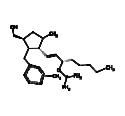 CCCCC[C@@H](/C=C/[C@H]1C(C)C[C@H](CO)C1Cc1cccc(C)c1)OP(P)P